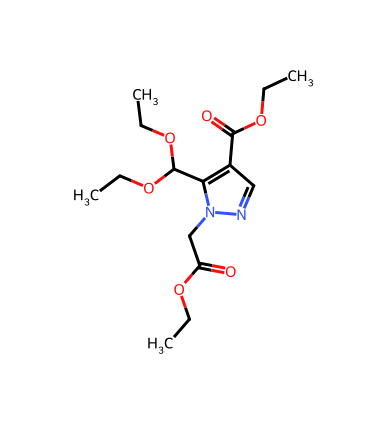 CCOC(=O)Cn1ncc(C(=O)OCC)c1C(OCC)OCC